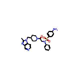 Cc1nc2cnccc2n1CC1CCN(C(=O)CN(c2ccccc2)S(=O)(=O)c2ccc(N)cc2)CC1